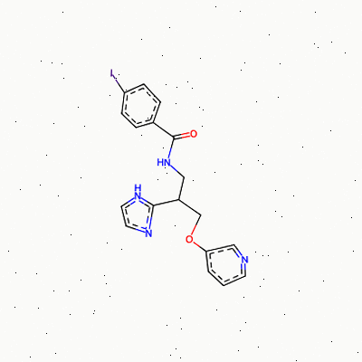 O=C(NCC(COc1cccnc1)c1ncc[nH]1)c1ccc(I)cc1